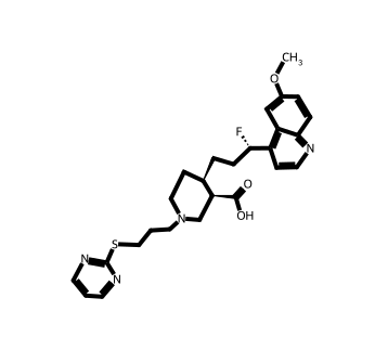 COc1ccc2nccc([C@@H](F)CC[C@@H]3CCN(CCCSc4ncccn4)C[C@@H]3C(=O)O)c2c1